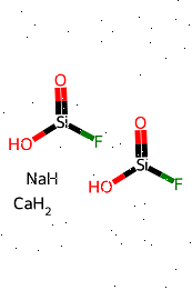 O=[Si](O)F.O=[Si](O)F.[CaH2].[NaH]